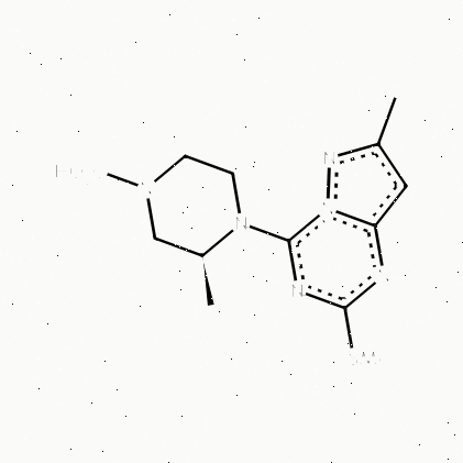 CSc1nc(N2CCN(C(=O)O)C[C@@H]2C)n2nc(C)cc2n1